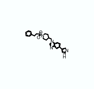 O=S(=O)(CCc1ccccc1)N1CCC(Cn2cnc3cc(-c4cn[nH]c4)ccc32)CC1